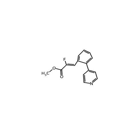 COC(=O)/C(F)=C/c1ccccc1-c1ccncc1